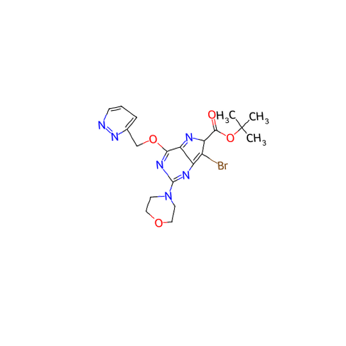 CC(C)(C)OC(=O)C1N=c2c(OCc3cccnn3)nc(N3CCOCC3)nc2=C1Br